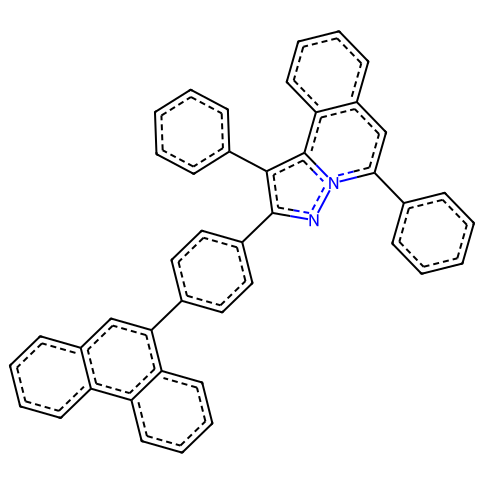 c1ccc(-c2c(-c3ccc(-c4cc5ccccc5c5ccccc45)cc3)nn3c(-c4ccccc4)cc4ccccc4c23)cc1